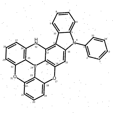 c1ccc(-n2c3ccccc3c3c4c5c(cc32)Oc2cccc3c2B5c2c(cccc2O3)N4)cc1